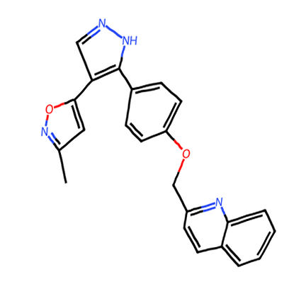 Cc1cc(-c2cn[nH]c2-c2ccc(OCc3ccc4ccccc4n3)cc2)on1